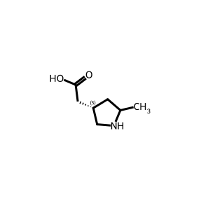 CC1C[C@@H](CC(=O)O)CN1